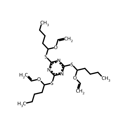 C=COC(CCCC)Sc1nc(SC(CCCC)OC=C)nc(SC(CCCC)OC=C)n1